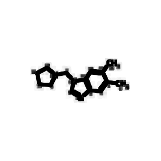 Cc1cc2ncn(CN3CCCC3)c2cc1C